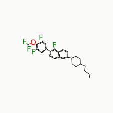 CCCCC1CCC(c2ccc3c(F)c(-c4cc(F)c(OC(F)F)c(F)c4)ccc3c2)CC1